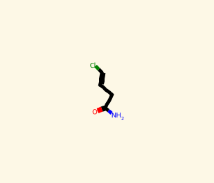 NC(=O)CC=CCl